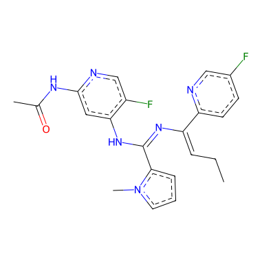 CC/C=C(/N=C(/Nc1cc(NC(C)=O)ncc1F)c1cccn1C)c1ccc(F)cn1